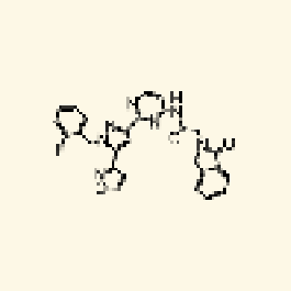 O=C(CN1Cc2ccccc2C1=O)Nc1ccnc(-c2cc(-c3ccon3)n(Cc3ccccc3F)n2)n1